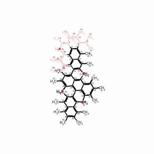 BBB(B(B)B)c1c(B(B(B)B)B(B)B)c(C)c2c(C)c(C)c(-c3c(C)c(C)c(C)c4c(-c5c(C)c(C)c6c(C)c(C)c(C)c(C)c6c5C)c5c(C)c(C)c(C)c(C)c5c(C)c34)c(B(B)BB)c2c1B(B)B(B)B